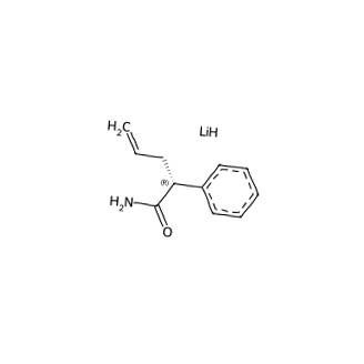 C=CC[C@@H](C(N)=O)c1ccccc1.[LiH]